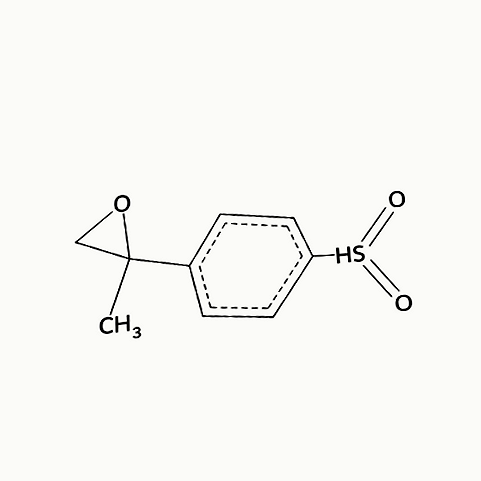 CC1(c2ccc([SH](=O)=O)cc2)CO1